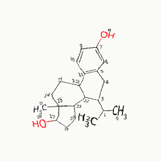 CC(C)C1Cc2cc(O)ccc2C2CCC3(C)C(O)CCC3C21